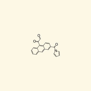 O=CC(=O)c1c2ccccc2cc2cc(C(=O)n3cccc3)ccc12